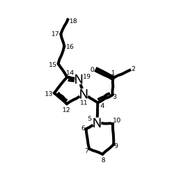 C=C(C)/C=C(/N1CCCCC1)n1ccc(CCCC)n1